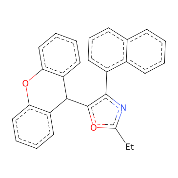 CCc1nc(-c2cccc3ccccc23)c(C2c3ccccc3Oc3ccccc32)o1